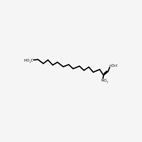 CCCCCCCCC=C(CCCCCCCCCCCCCC(=O)O)[N+](=O)[O-]